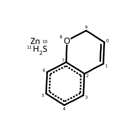 C1=Cc2ccccc2OC1.S.[Zn]